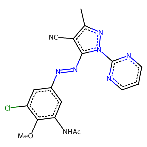 COc1c(Cl)cc(/N=N/c2c(C#N)c(C)nn2-c2ncccn2)cc1NC(C)=O